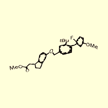 COC(=O)CC1CCc2cc(OCc3ccc(-c4cc(OC)ccc4F)c(C(C)(C)C)c3)ccc21